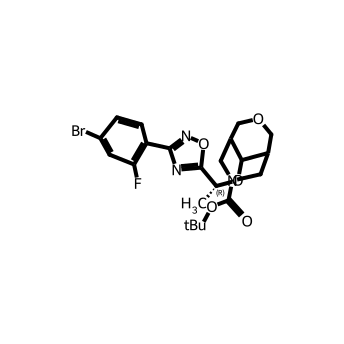 C[C@@H](OC1C2COCC1CN(C(=O)OC(C)(C)C)C2)c1nc(-c2ccc(Br)cc2F)no1